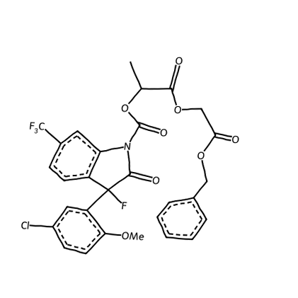 COc1ccc(Cl)cc1C1(F)C(=O)N(C(=O)OC(C)C(=O)OCC(=O)OCc2ccccc2)c2cc(C(F)(F)F)ccc21